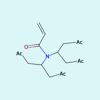 C=CC(=O)N(C(CC(C)=O)CC(C)=O)C(CC(C)=O)CC(C)=O